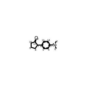 CN(C)c1ccc(C2CCCC2=O)cc1